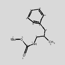 CC(CNC(=O)OC(C)(C)C)Cc1ccccc1